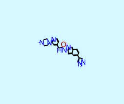 CN1CCN(c2cc(CC(=O)Nc3cc4cc(-c5cnn(C)c5)ccc4cn3)ccn2)CC1